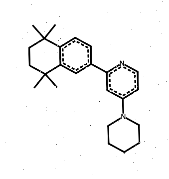 CC1(C)CCC(C)(C)c2cc(-c3cc(N4CC[CH]CC4)ccn3)ccc21